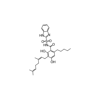 CCCCCc1cc(O)c(CC=C(C)CCC=C(C)C)c(O)c1C(=O)NS(=O)(=O)c1nc2ccccc2[nH]1